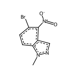 Cn1ncc2c([N+](=O)[O-])c(Br)ccc21